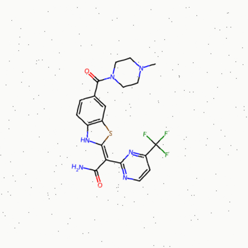 CN1CCN(C(=O)c2ccc3c(c2)S/C(=C(/C(N)=O)c2nccc(C(F)(F)F)n2)N3)CC1